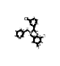 O=C(c1cccc(Cl)c1)N(Cc1cccnc1)Cc1cc(Cl)cc(Cl)c1